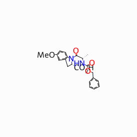 COc1ccc2c(c1)C[C@@H](C(=O)O)N2C(=O)[C@H](C)NC(=O)OCc1ccccc1